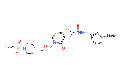 COc1cccc(CNC(=O)C2Cc3c(ccn(COCC4CCN(S(C)(=O)=O)CC4)c3=O)S2)c1